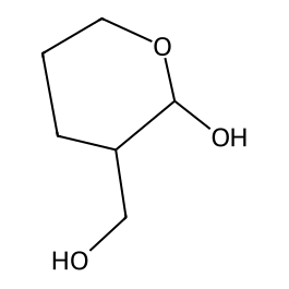 OCC1CCCOC1O